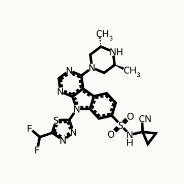 C[C@H]1CN(c2ncnc3c2c2ccc(S(=O)(=O)NC4(C#N)CC4)cc2n3-c2nnc(C(F)F)s2)C[C@H](C)N1